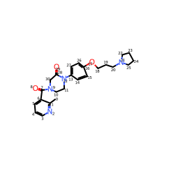 Cc1ncccc1C(=O)N1CCN(c2ccc(OCCCN3CCCC3)cc2)C(=O)C1